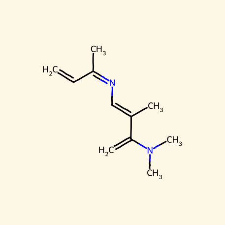 C=C/C(C)=N\C=C(/C)C(=C)N(C)C